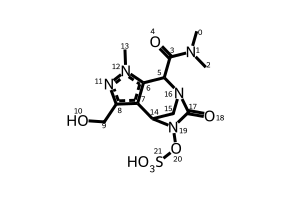 CN(C)C(=O)C1c2c(c(CO)nn2C)C2CN1C(=O)N2OS(=O)(=O)O